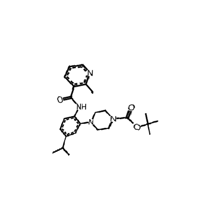 Cc1ncccc1C(=O)Nc1ccc(C(C)C)cc1N1CCN(C(=O)OC(C)(C)C)CC1